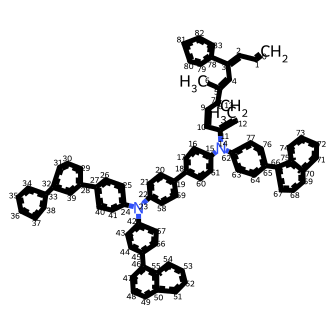 C=C/C=C(\C=C(/C)C(=C)/C=C\C(=C/C)N(c1ccc(-c2ccc(N(c3ccc(-c4cccc(-c5ccccc5)c4)cc3)c3ccc(-c4cccc5ccccc45)cc3)cc2)cc1)c1ccc(-c2cccc3ccccc23)cc1)c1ccccc1